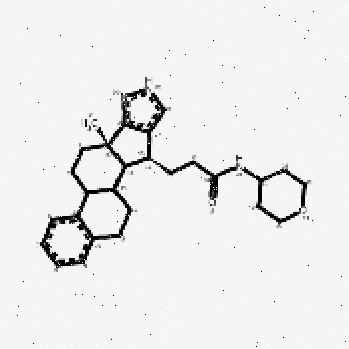 C[C@]12CCC3c4ccccc4CCC3C1[C@H](CCC(=O)NC1CCOCC1)c1c[nH]nc12